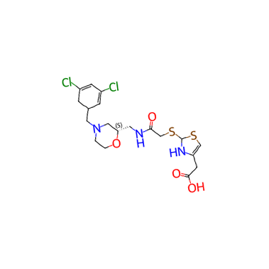 O=C(O)CC1=CSC(SCC(=O)NC[C@H]2CN(CC3C=C(Cl)C=C(Cl)C3)CCO2)N1